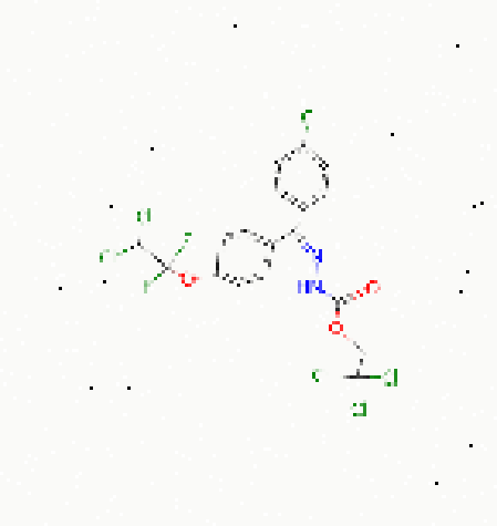 O=C(NN=C(c1ccc(Cl)cc1)c1ccc(OC(F)(F)C(Cl)Cl)cc1)OCC(Cl)(Cl)Cl